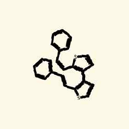 C(=Cc1sccc1-c1ccsc1C=Cc1ccccc1)c1ccccc1